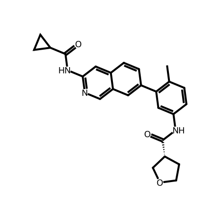 Cc1ccc(NC(=O)[C@@H]2CCOC2)cc1-c1ccc2cc(NC(=O)C3CC3)ncc2c1